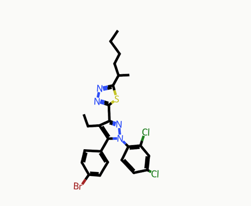 CCCCC(C)c1nnc(-c2nn(-c3ccc(Cl)cc3Cl)c(-c3ccc(Br)cc3)c2CC)s1